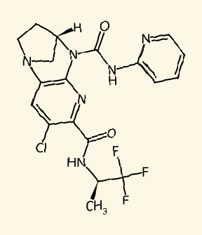 C[C@@H](NC(=O)c1nc2c(cc1Cl)N1CC[C@@H](C1)N2C(=O)Nc1ccccn1)C(F)(F)F